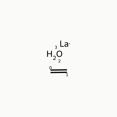 C=C.O.[La]